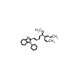 C=C/C=C(\C=C/C)C(/C=C/C=C/c1nc2ccccc2n1-c1ccccc1)=N/C